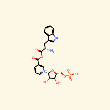 N[C@@H](Cc1c[nH]c2ccccc12)C(=O)OC(=O)c1ccc[n+]([C@@H]2O[C@H](COP(=O)([O-])O)[C@@H](O)[C@H]2O)c1